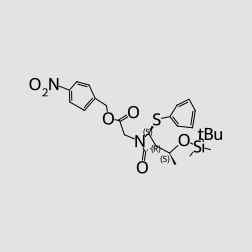 C[C@H](O[Si](C)(C)C(C)(C)C)[C@@H]1C(=O)N(CC(=O)OCc2ccc([N+](=O)[O-])cc2)[C@H]1Sc1ccccc1